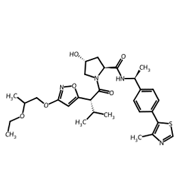 CCOC(C)COc1cc([C@H](C(=O)N2C[C@H](O)C[C@H]2C(=O)N[C@@H](C)c2ccc(-c3scnc3C)cc2)C(C)C)on1